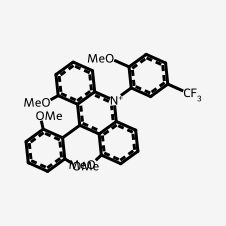 COc1ccc(C(F)(F)F)cc1-[n+]1c2cccc(OC)c2c(-c2c(OC)cccc2OC)c2c(OC)cccc21